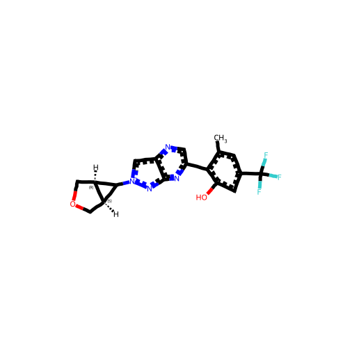 Cc1cc(C(F)(F)F)cc(O)c1-c1cnc2cn(C3[C@H]4COC[C@@H]34)nc2n1